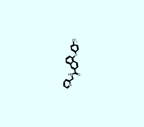 O=C(NCc1ccccn1)c1ccc2c(Oc3ccc(C(F)(F)F)cc3)cccc2c1